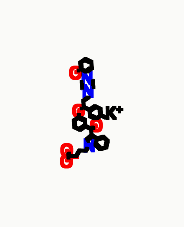 COc1ccccc1N1CCN(CCC(Oc2cccc(C(=O)c3cn(CCCC(=O)[O-])c4ccccc34)c2)c2ccc(C)cc2)CC1.[K+]